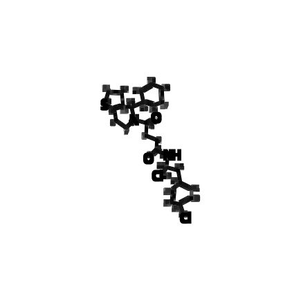 O=C(CCC(=O)N1CCc2sccc2C1c1ccccc1)NC(Cl)Cc1ccc(Cl)cc1